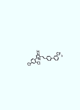 FC(F)(F)c1cccc(-c2ccc(C=Cc3nc(-c4ccc(Cl)cc4Cl)c[nH]3)cc2)c1